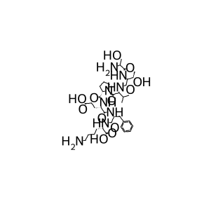 CC(C)[C@H](NC(=O)[C@@H](NC(=O)[C@@H](N)CO)[C@@H](C)O)C(=O)N1CCC[C@H]1C(=O)N[C@@H](CCC(=O)O)C(=O)N[C@@H](Cc1ccccc1)C(=O)N[C@@H](CCCCN)C(=O)O